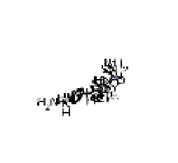 CO/N=C(\C(=O)N[C@@H]1C(=O)N2C(C(=O)O)=C(CN3C=CN4NC(NCCN)=CC=C34)CS[C@@H]12)c1csc(N)n1.Cl